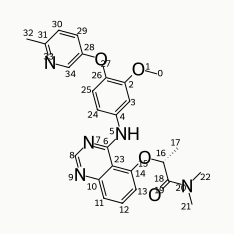 COc1cc(Nc2ncnc3cccc(O[C@H](C)C(=O)N(C)C)c23)ccc1Oc1ccc(C)nc1